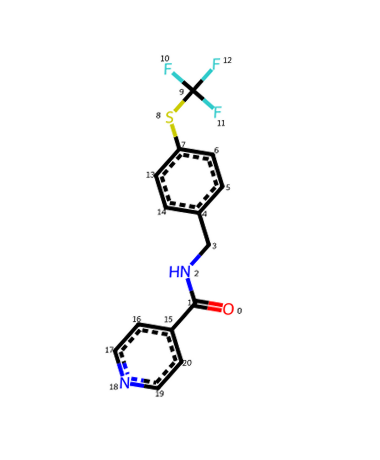 O=C(NCc1ccc(SC(F)(F)F)cc1)c1ccncc1